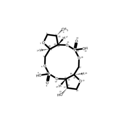 C[C@H]1CO[C@@H]2COP(=O)(O)O[C@H]3[C@@H](O)CO[C@@H]3COP(=O)(O)O[C@@H]12